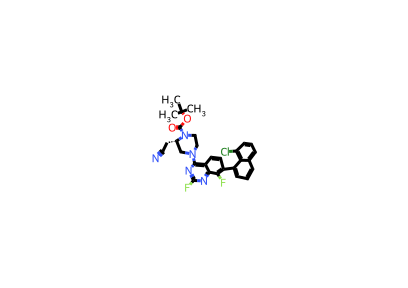 CC(C)(C)OC(=O)N1CCN(c2nc(F)nc3c(F)c(-c4cccc5cccc(Cl)c45)ccc23)C[C@@H]1CC#N